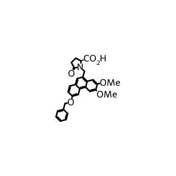 COc1cc2c(CN3C(=O)CC[C@H]3C(=O)O)cc3ccc(OCc4ccccc4)cc3c2cc1OC